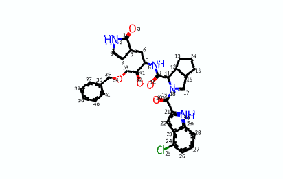 O=C1NCCC1CC(NC(=O)C1C2CCCC2CN1C(=O)c1cc2c(Cl)cccc2[nH]1)C(=O)COCc1ccccc1